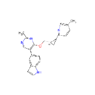 Cc1ccc(C2C[C@@H]2COc2nc(C)ncc2-c2ccc3[nH]ccc3c2)nc1